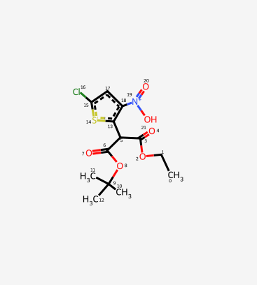 CCOC(=O)C(C(=O)OC(C)(C)C)c1sc(Cl)cc1[N+](=O)O